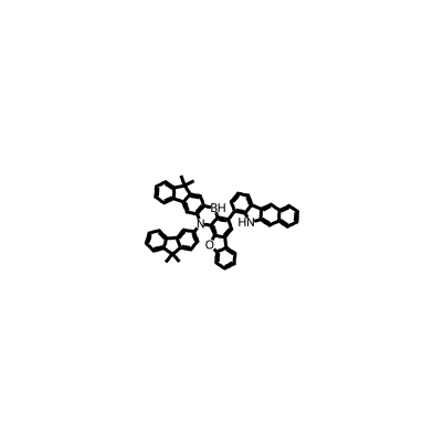 CC1(C)c2ccccc2-c2cc(N3c4cc5c(cc4Bc4c(-c6cccc7c6[nH]c6cc8ccccc8cc67)cc6c(oc7ccccc76)c43)C(C)(C)c3ccccc3-5)ccc21